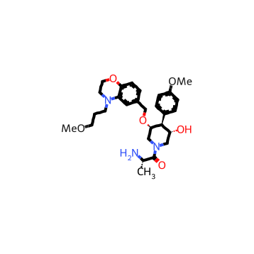 COCCCN1CCOc2ccc(CO[C@H]3CN(C(=O)[C@H](C)N)C[C@@H](O)[C@@H]3c3ccc(OC)cc3)cc21